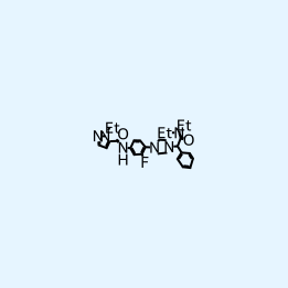 CCN(CC)C(=O)C(c1ccccc1)N1CCN(c2ccc(NC(=O)c3ccnn3CC)cc2F)CC1